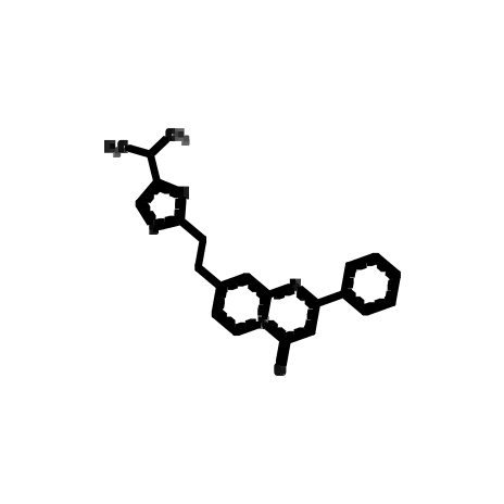 CC(C)c1csc(CCc2ccn3c(=O)cc(-c4ccccc4)nc3c2)n1